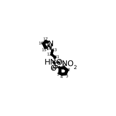 O=[N+]([O-])c1ccccc1S(=O)(=O)NCCCn1cccn1